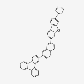 c1ccc(-c2ccc3c(c2)oc2cc(-c4ccc5ccc(-c6ccc7c8ccccc8c8ccccc8c7c6)cc5c4)ccc23)cc1